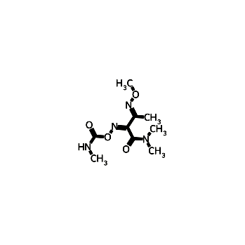 CNC(=O)ON=C(C(=O)N(C)C)C(C)=NOC